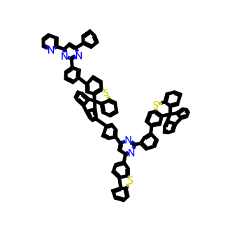 c1ccc(-c2cc(-c3ccccn3)nc(-c3cccc(-c4ccc5c(c4)C4(c6ccccc6S5)c5ccccc5-c5ccc(-c6ccc(-c7cc(-c8ccc9c(c8)sc8ccccc89)nc(-c8cccc(-c9ccc%10c(c9)C9(c%11ccccc%11S%10)c%10ccccc%10-c%10ccccc%109)c8)n7)cc6)cc54)c3)n2)cc1